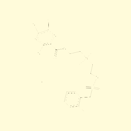 Cc1ccccc1CS(=O)(=O)NCC[N+](C)(C)CCNC(=O)c1nc(Cl)c(N)nc1N.[Br-]